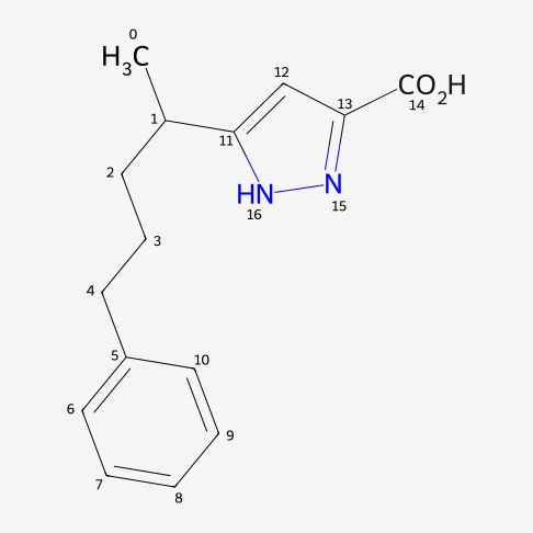 CC(CCCc1ccccc1)c1cc(C(=O)O)n[nH]1